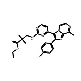 CCOC(=O)C(C)(C)CNc1nccc(-c2c(-c3ccc(F)cc3)nc3c(C)nccn23)n1